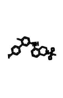 Cc1ccc(Nc2cccc3c2CCN(S(C)(=O)=O)C3)cc1-c1ccc(F)cc1